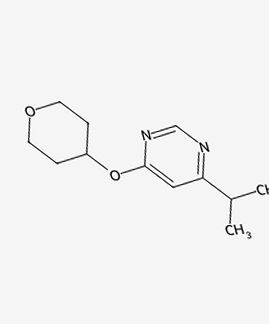 CC(C)c1cc(OC2CCOCC2)ncn1